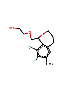 COc1cc2c(c(Cl)c1Cl)C(COCCO)OCCC2